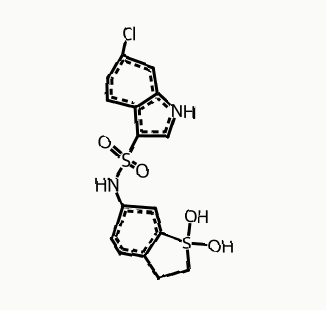 O=S(=O)(Nc1ccc2c(c1)S(O)(O)CC2)c1c[nH]c2cc(Cl)ccc12